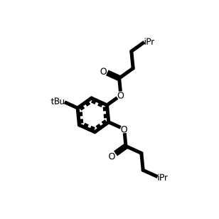 CC(C)CCC(=O)Oc1ccc(C(C)(C)C)cc1OC(=O)CCC(C)C